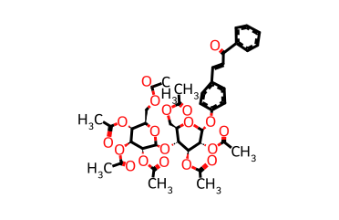 CC(=O)OC[C@H]1O[C@@H](O[C@H]2[C@H](OC(C)=O)[C@@H](OC(C)=O)[C@H](Oc3ccc(/C=C/C(=O)c4ccccc4)cc3)O[C@@H]2COC(C)=O)[C@H](OC(C)=O)[C@@H](OC(C)=O)[C@@H]1OC(C)=O